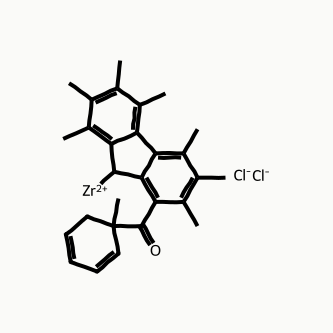 Cc1c(C)c(C)c2c(c1C)-c1c(C)c(C)c(C)c(C(=O)C3(C)C=CC=CC3)c1[CH]2[Zr+2].[Cl-].[Cl-]